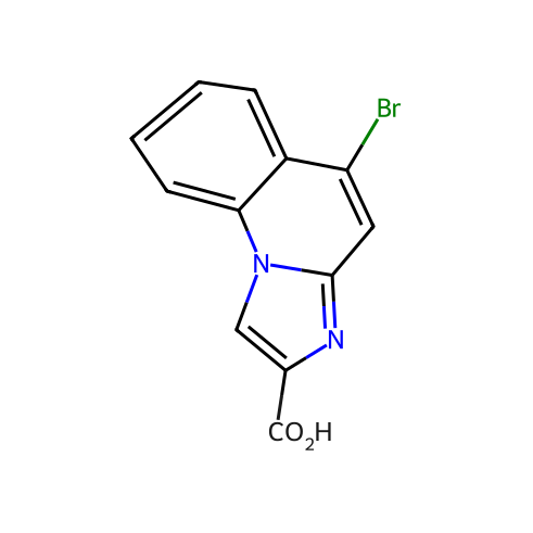 O=C(O)c1cn2c(cc(Br)c3ccccc32)n1